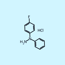 Cl.NN(c1ccccc1)c1ccc(F)cc1